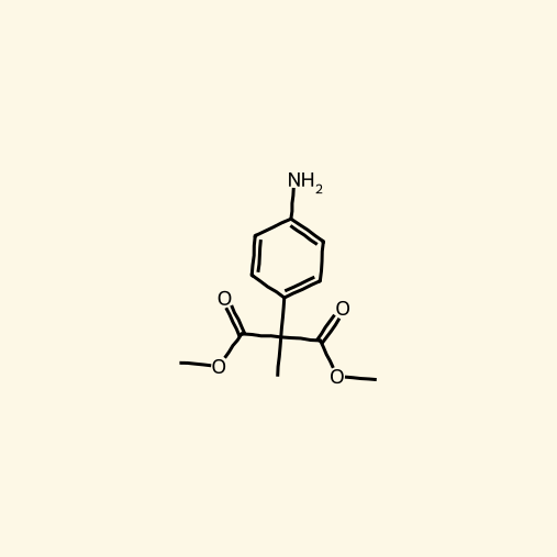 COC(=O)C(C)(C(=O)OC)c1ccc(N)cc1